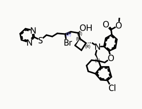 COC(=O)c1ccc2c(c1)N(C[C@@H]1CC[C@H]1[C@@H](O)/C=C(\Br)CCCSc1ncccn1)C[C@@]1(CCCc3cc(Cl)ccc31)CO2